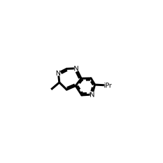 CC1C=c2cnc(C(C)C)cc2=NC=N1